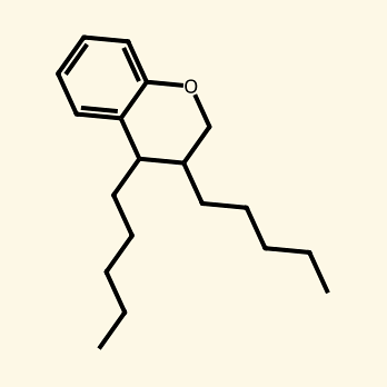 CCCCCC1COc2ccccc2C1CCCCC